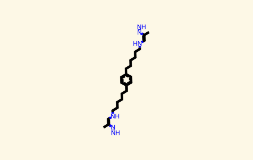 C/C(=C/NCCCCCCc1ccc(CCCCCCN/C=C(/C)N=N)cc1)N=N